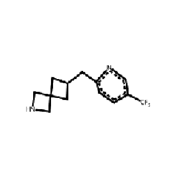 FC(F)(F)c1ccc(CC2CC3(CNC3)C2)nc1